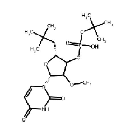 COC1C(OP(=O)(O)OC(C)(C)C)[C@@H](CC(C)(C)C)O[C@H]1n1ccc(=O)[nH]c1=O